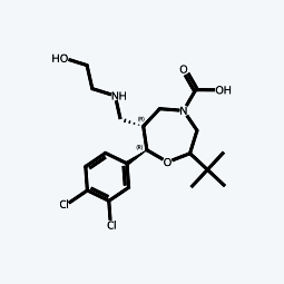 CC(C)(C)C1CN(C(=O)O)C[C@@H](CNCCO)[C@H](c2ccc(Cl)c(Cl)c2)O1